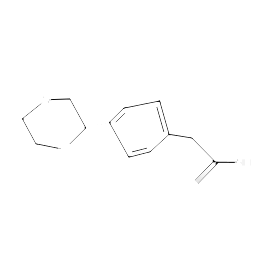 NC(=O)Cc1ccc([C@H]2CNCCO2)cc1